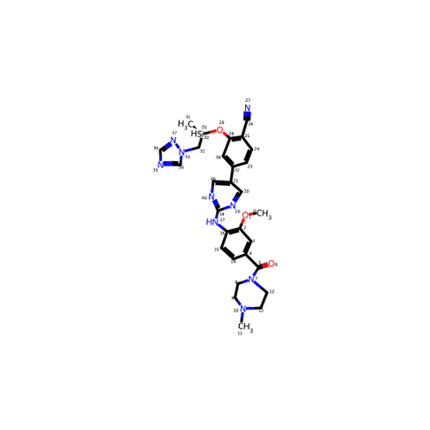 COc1cc(C(=O)N2CCN(C)CC2)ccc1Nc1ncc(-c2ccc(C#N)c(O[Si@@H](C)Cn3cncn3)c2)cn1